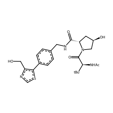 CC(=O)N[C@H](C(=O)N1C[C@H](O)C[C@H]1C(=O)NCc1ccc(-c2scnc2CO)cc1)C(C)(C)C